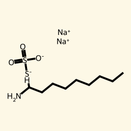 CCCCCCCCC(N)[SH-]S(=O)(=O)[O-].[Na+].[Na+]